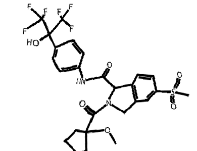 COC1(C(=O)N2Cc3cc(S(C)(=O)=O)ccc3C2C(=O)Nc2ccc(C(O)(C(F)(F)F)C(F)(F)F)cc2)CCCC1